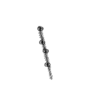 CCCCCCCCCCCCOC(=O)CCCCCCCCCCC(=O)OCCCCCCOC(=O)CCCCCCCCCCC(=O)OC